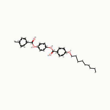 CCCCCCCCCOc1ccc(C(=O)Oc2ccc(OC(=O)c3ccc(C)cc3)cc2)cc1